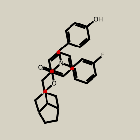 O=C(OCC1C2CCC1CN(Cc1ccccc1)C2)N(Cc1ccc(O)cc1)c1cccc(F)c1